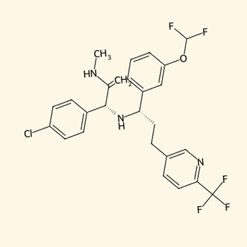 C=C(NC)[C@H](N[C@@H](CCc1ccc(C(F)(F)F)nc1)c1cccc(OC(F)F)c1)c1ccc(Cl)cc1